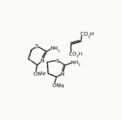 COC1CCSC(N)=N1.COC1CCSC(N)=N1.O=C(O)C=CC(=O)O